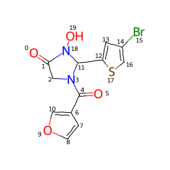 O=C1CN(C(=O)c2ccoc2)C(c2cc(Br)cs2)N1O